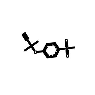 C#CC(C)(C)Oc1ccc(S(C)(=O)=O)cc1